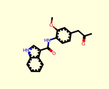 COc1cc(CC(C)=O)ccc1NC(=O)c1c[nH]c2ccccc12